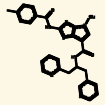 Cc1ccc(C(=O)Nc2nc3c(s2)c(C(=O)NC(Cc2cccnc2)Cc2ccccn2)cn3C(C)(C)C)cc1